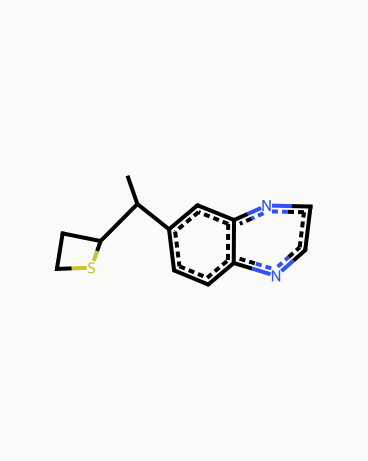 CC(c1ccc2nccnc2c1)C1CCS1